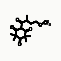 CC(CCOC(F)(F)F)C(=O)C1C(=O)C(C)(C)C(=O)C(C)(C)C1=O